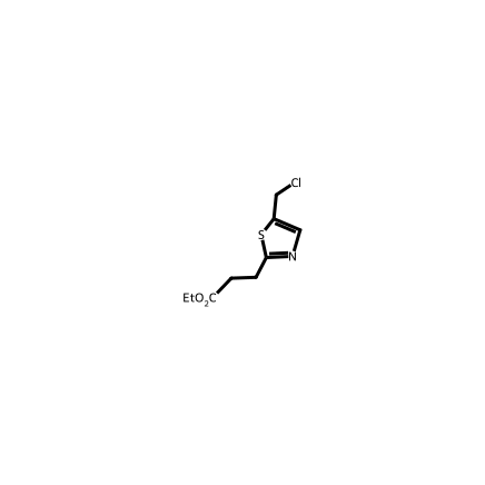 CCOC(=O)CCc1ncc(CCl)s1